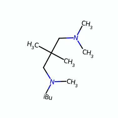 CCC(C)N(C)CC(C)(C)CN(C)C